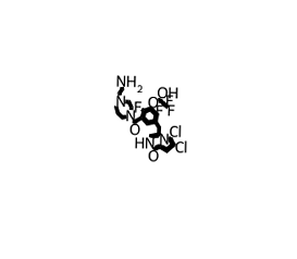 NCCN1CCCN(C(=O)c2cc(Cc3c[nH]c(=O)c4cc(Cl)c(Cl)n34)ccc2F)CC1.O=C(O)C(F)(F)F